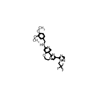 COc1ccc(CNc2cc3c(cn2)-c2nc(-c4ncnn4CC(F)(F)F)cn2CCO3)cc1OC